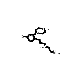 NCCNCCCc1ccc(Cl)cc1N1CCNCC1